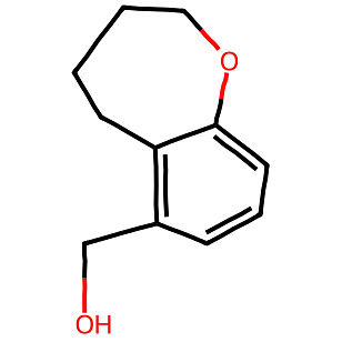 OCc1cccc2c1CCCCO2